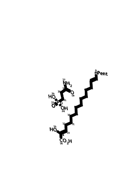 CCCCCC=CCCCCCCCCCCC=C(O)C(=O)O.NC(=O)CCP(=O)(O)O